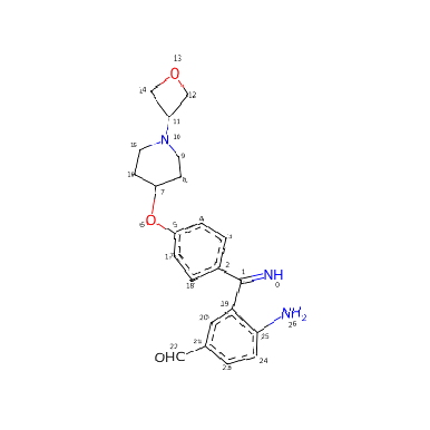 N=C(c1ccc(OC2CCN(C3COC3)CC2)cc1)c1cc(C=O)ccc1N